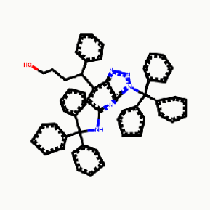 OCCCC(c1ccccc1)c1cc(NC(c2ccccc2)(c2ccccc2)c2ccccc2)nc2c1nnn2C(c1ccccc1)(c1ccccc1)c1ccccc1